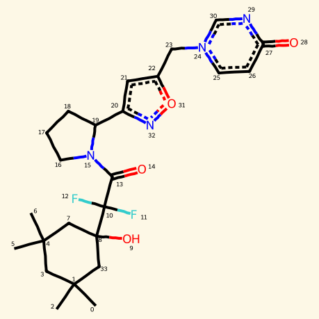 CC1(C)CC(C)(C)CC(O)(C(F)(F)C(=O)N2CCCC2c2cc(Cn3ccc(=O)nc3)on2)C1